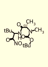 C[C@@H](C(=O)NC(C(=O)N=O)C(C)(C)C)N(C)C(=O)OC(C)(C)C